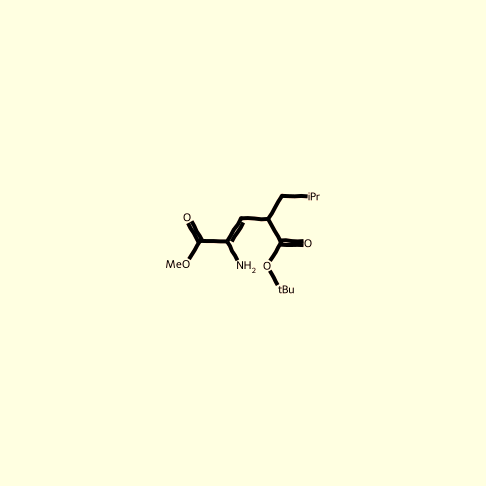 COC(=O)C(N)=CC(CC(C)C)C(=O)OC(C)(C)C